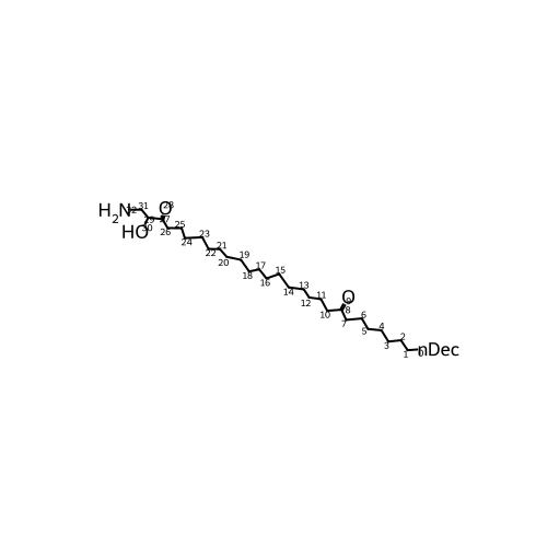 CCCCCCCCCCCCCCCCCC(=O)CCCCCCCCCCCCCCCCCC(=O)C(O)CN